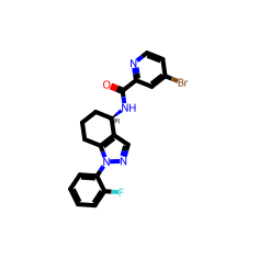 O=C(N[C@@H]1CCCc2c1cnn2-c1ccccc1F)c1cc(Br)ccn1